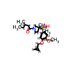 CC[C@@H](C)[CH]C(=O)N1C[C@@H](c2ccc(OC)c(OCC3CC3)c2)[C@](C)([C@@H](C)O)C1